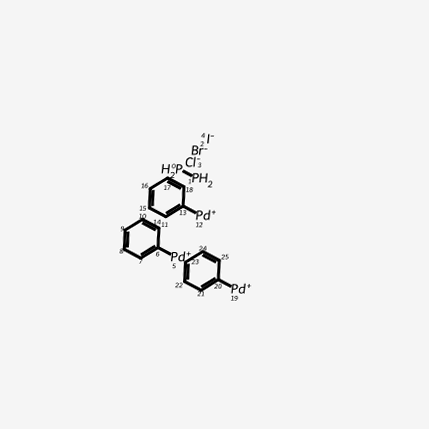 PP.[Br-].[Cl-].[I-].[Pd+][c]1ccccc1.[Pd+][c]1ccccc1.[Pd+][c]1ccccc1